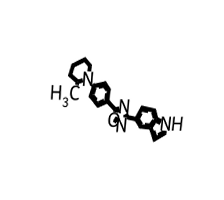 CC1CCCCN1c1ccc(-c2nc(-c3ccc4[nH]ccc4c3)no2)cc1